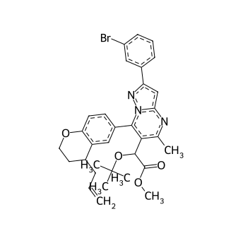 C=CCC1CCOc2ccc(-c3c(C(OC(C)(C)C)C(=O)OC)c(C)nc4cc(-c5cccc(Br)c5)nn34)cc21